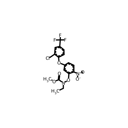 CCN(Oc1cc(Oc2ccc(C(F)(F)F)cc2Cl)ccc1[N+](=O)[O-])C(=O)OC